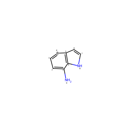 Nc1ccbc2cc[nH]c12